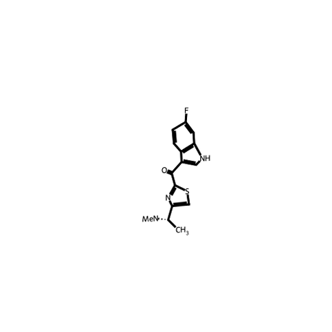 CN[C@@H](C)c1csc(C(=O)c2c[nH]c3cc(F)ccc23)n1